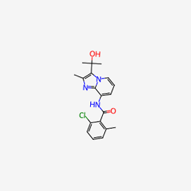 Cc1cccc(Cl)c1C(=O)Nc1cccn2c(C(C)(C)O)c(C)nc12